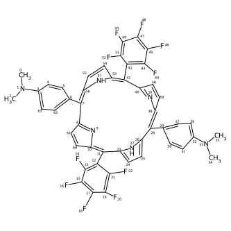 CN(C)c1ccc(-c2c3nc(c(-c4c(F)c(F)c(F)c(F)c4F)c4ccc([nH]4)c(-c4ccc(N(C)C)cc4)c4nc(c(-c5c(F)c(F)c(F)c(F)c5F)c5ccc2[nH]5)C=C4)C=C3)cc1